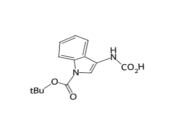 CC(C)(C)OC(=O)n1cc(NC(=O)O)c2ccccc21